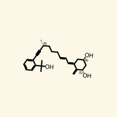 C=C1C(=CC=CCCC[C@@H](C)C#Cc2ccccc2C(C)(C)O)C[C@@H](O)C[C@@H]1O